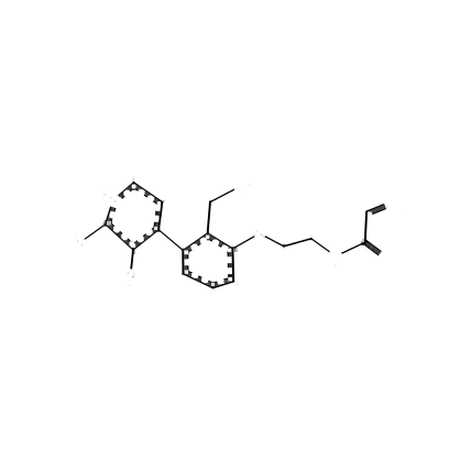 C=CC(=C)OCCNc1cccc(-c2ccnc(N)c2N)c1COC(C)=O